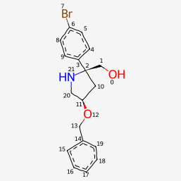 OC[C@@]1(c2ccc(Br)cc2)C[C@@H](OCc2ccccc2)CN1